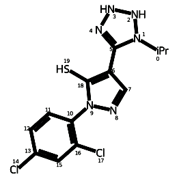 CC(C)N1NNN=C1c1cnn(-c2ccc(Cl)cc2Cl)c1S